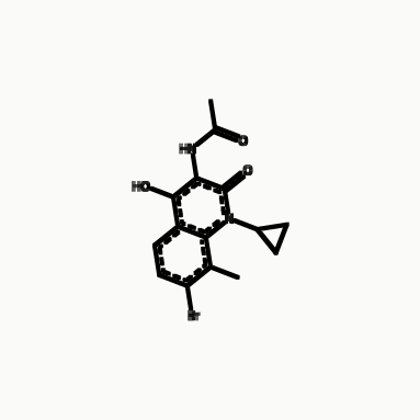 CC(=O)Nc1c(O)c2ccc(Br)c(C)c2n(C2CC2)c1=O